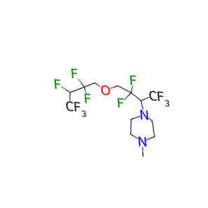 CN1CCN(C(C(F)(F)F)C(F)(F)COCC(F)(F)C(F)C(F)(F)F)CC1